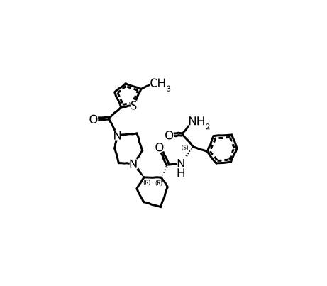 Cc1ccc(C(=O)N2CCN([C@@H]3CCCC[C@H]3C(=O)N[C@H](C(N)=O)c3ccccc3)CC2)s1